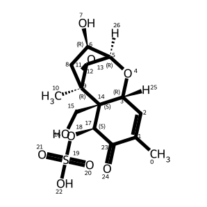 CC1=C[C@H]2O[C@@H]3[C@H](O)C[C@@](C)(C34CO4)[C@@]2(CO)[C@H](OS(=O)(=O)O)C1=O